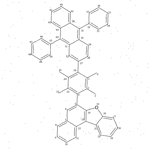 Cc1c(C)c(-c2cc3ccccc3c3c2oc2ccccc23)c(C)c(C)c1-c1ccc2c(-c3ccccc3)c3ccccc3c(-c3ccccc3)c2c1